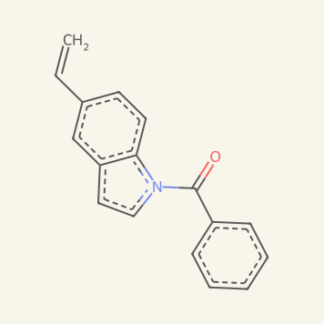 C=Cc1ccc2c(ccn2C(=O)c2ccccc2)c1